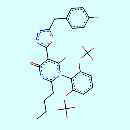 CCCCc1nc(=O)c(-c2nnc(Cc3ccc(Cl)cc3)o2)c(O)n1-c1c(OC(O)(O)O)cccc1OC(O)(O)O